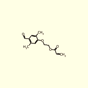 C=CC(=O)OCCOc1cc(C)c(C=O)cc1C